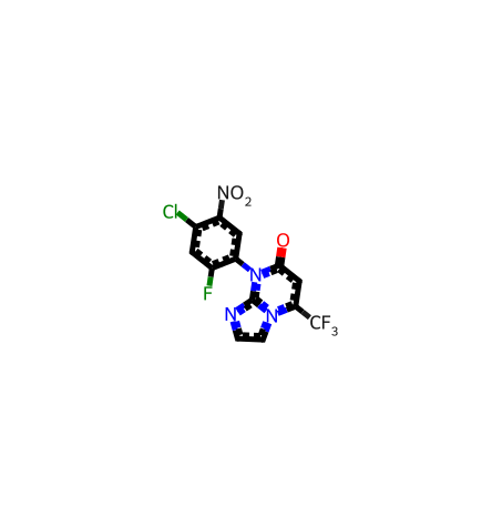 O=c1cc(C(F)(F)F)n2ccnc2n1-c1cc([N+](=O)[O-])c(Cl)cc1F